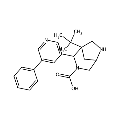 CC(C)(C)C12CNC(CN(C(=O)O)C1c1cncc(-c3ccccc3)c1)C2